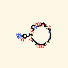 COC1C(=O)C(C)C[C@H](C)/C=C/C=C/C=C(\C)[C@@H](OC)C[C@@H]2CC[C@@H](C)[C@@](O)(O2)C(=O)C(=O)N2CCCCC2C(=O)O[C@H]([C@H](C)CC2CC[C@H](n3ncnn3)C(OC)C2)CC(=O)[C@H](C)/C=C(\C)[C@H]1O